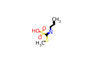 C=CCN=C(SC)S(=O)(=O)O